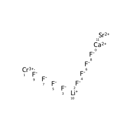 [Ca+2].[Cr+3].[F-].[F-].[F-].[F-].[F-].[F-].[F-].[F-].[Li+].[Sr+2]